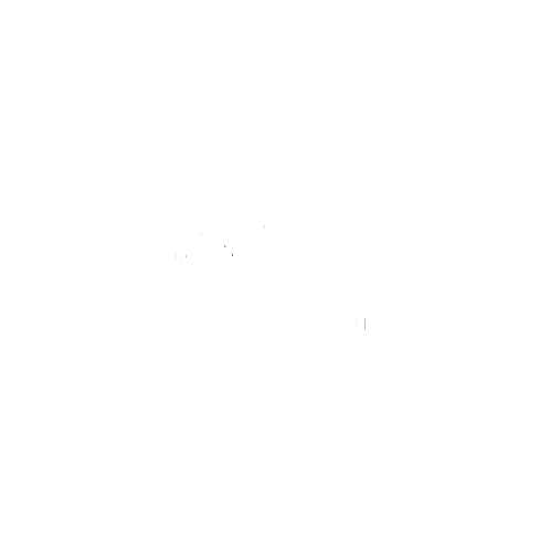 CC#Cc1cccc(N2C(=O)C=CC2=O)c1